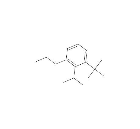 CCCc1cccc(C(C)(C)C)c1C(C)C